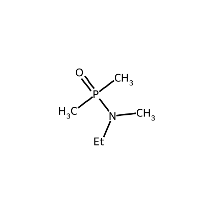 CCN(C)P(C)(C)=O